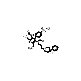 CCC1=C(NC=O)C(c2ccc([N+](=O)[O-])cc2)C(N(C=O)CCCN2CCC(O)(c3ccccc3)CC2)=C(CC)N1.Cl.O